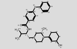 CC(C)[C@@H](CN1CCN(C2=CC(O)CCC2)[C@@H](C)C1)NC(=O)c1ccc(Oc2c#cccc2)nc1